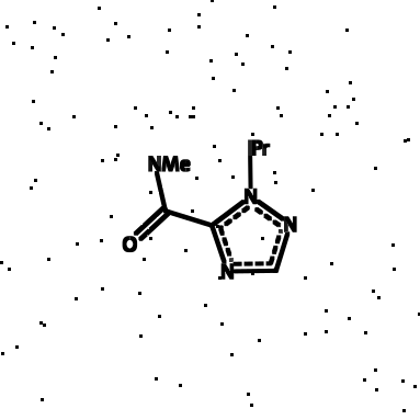 CNC(=O)c1ncnn1C(C)C